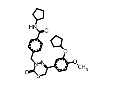 COc1ccc(C2=NN(Cc3ccc(C(=O)NC4CCCC4)cc3)C(=O)SC2)cc1OC1CCCC1